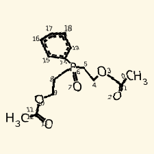 CC(=O)OCCP(=O)(CCOC(C)=O)c1ccccc1